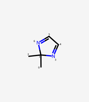 CC1(C)N=[C]C=N1